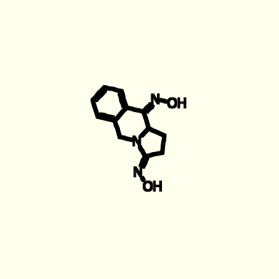 ON=C1c2ccccc2CN2C(=NO)CCC12